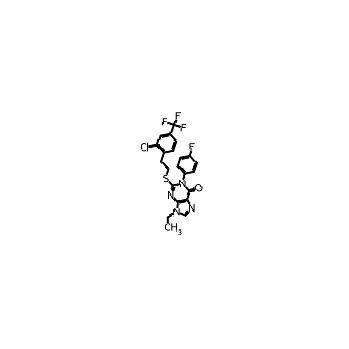 CCn1cnc2c(=O)n(-c3ccc(F)cc3)c(SCCc3ccc(C(F)(F)F)cc3Cl)nc21